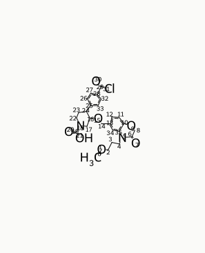 COCCCN1C(=O)COc2ccc(COC3CN(C(=O)O)CCC3c3ccc(C(=O)Cl)cc3)cc21